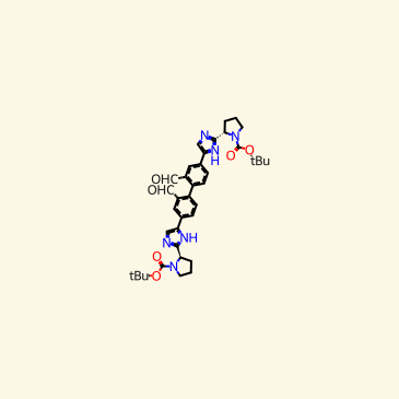 CC(C)(C)OC(=O)N1CCC[C@@H]1c1ncc(-c2ccc(-c3ccc(-c4cnc([C@@H]5CCCN5C(=O)OC(C)(C)C)[nH]4)cc3C=O)c(C=O)c2)[nH]1